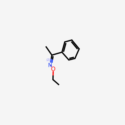 CCO/N=C(/C)c1ccccc1